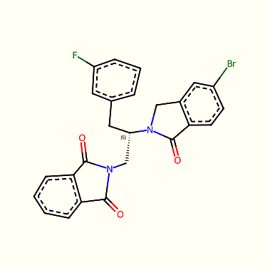 O=C1c2ccccc2C(=O)N1C[C@H](Cc1cccc(F)c1)N1Cc2cc(Br)ccc2C1=O